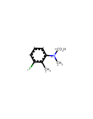 Cc1c(F)cccc1N(C)C(=O)O